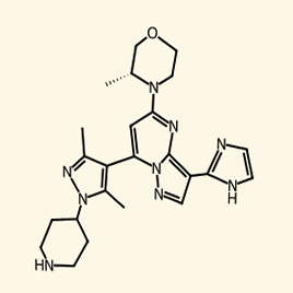 Cc1nn(C2CCNCC2)c(C)c1-c1cc(N2CCOC[C@H]2C)nc2c(-c3ncc[nH]3)cnn12